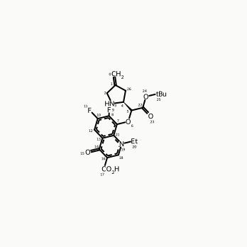 C=C1CN[C@H](C(Oc2c(F)c(F)cc3c(=O)c(C(=O)O)cn(CC)c23)C(=O)OC(C)(C)C)C1